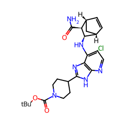 CC(C)(C)OC(=O)N1CCC(c2nc3c(N[C@H]4[C@@H](C(N)=O)[C@@H]5C=C[C@H]4C5)c(Cl)cnc3[nH]2)CC1